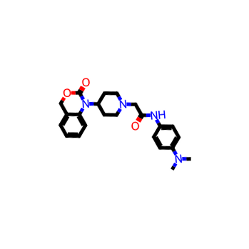 CN(C)c1ccc(NC(=O)CN2CCC(N3C(=O)OCc4ccccc43)CC2)cc1